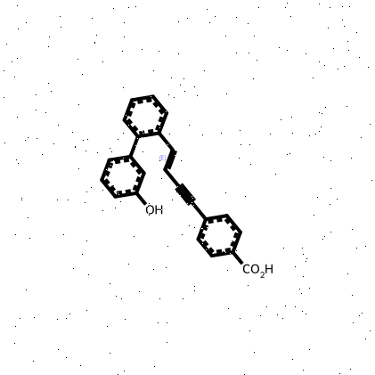 O=C(O)c1ccc(C#C/C=C/c2ccccc2-c2cccc(O)c2)cc1